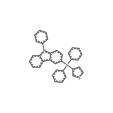 c1ccc(-n2c3ccccc3c3cc([Si](c4ccccc4)(c4ccccc4)c4ccsc4)ccc32)cc1